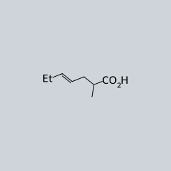 CC/C=C/CC(C)C(=O)O